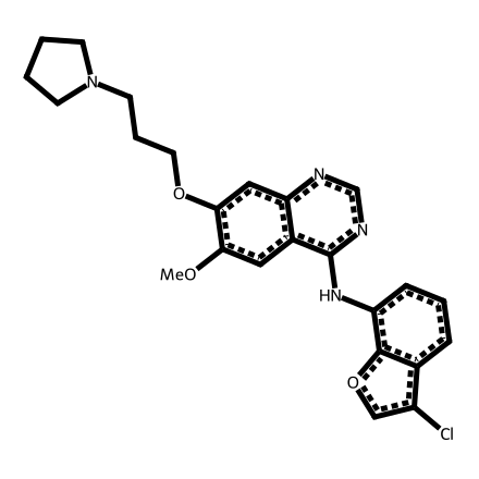 COc1cc2c(Nc3cccc4c(Cl)coc34)ncnc2cc1OCCCN1CCCC1